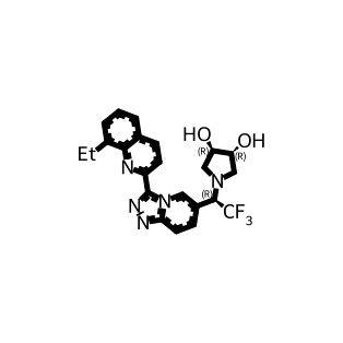 CCc1cccc2ccc(-c3nnc4ccc([C@@H](N5C[C@@H](O)[C@H](O)C5)C(F)(F)F)cn34)nc12